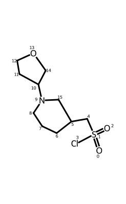 O=S(=O)(Cl)CC1CCCN(C2CCOC2)C1